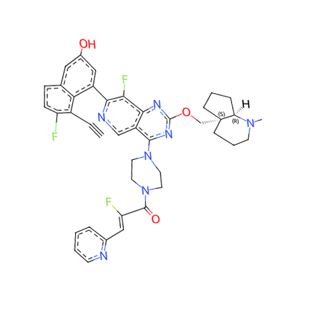 C#Cc1c(F)ccc2cc(O)cc(-c3ncc4c(N5CCN(C(=O)C(F)=Cc6ccccn6)CC5)nc(OC[C@]56CCC[C@H]5N(C)CCC6)nc4c3F)c12